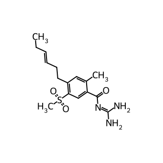 CCC=CCCc1cc(C)c(C(=O)N=C(N)N)cc1S(C)(=O)=O